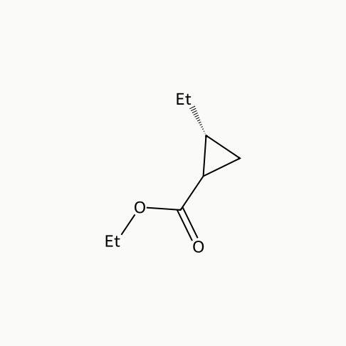 CCOC(=O)C1C[C@H]1CC